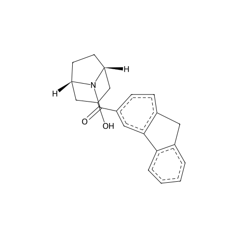 O=C(c1ccc2c(c1)-c1ccccc1C2)N1[C@@H]2CC[C@H]1CC(O)C2